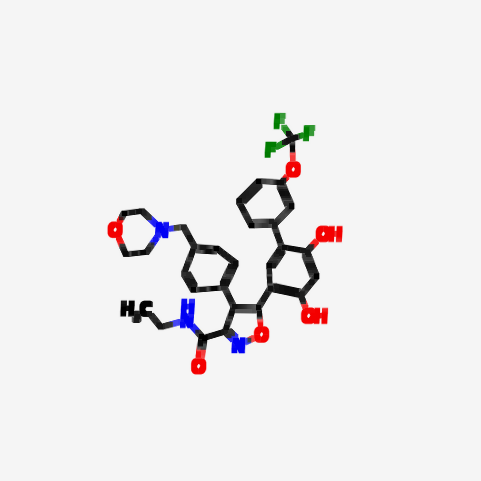 CCNC(=O)c1noc(-c2cc(-c3cccc(OC(F)(F)F)c3)c(O)cc2O)c1-c1ccc(CN2CCOCC2)cc1